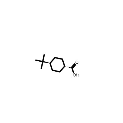 CC(C)(C)[C@H]1CC[C@H](C(=O)O)CC1